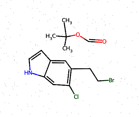 CC(C)(C)OC=O.Clc1cc2[nH]ccc2cc1CCBr